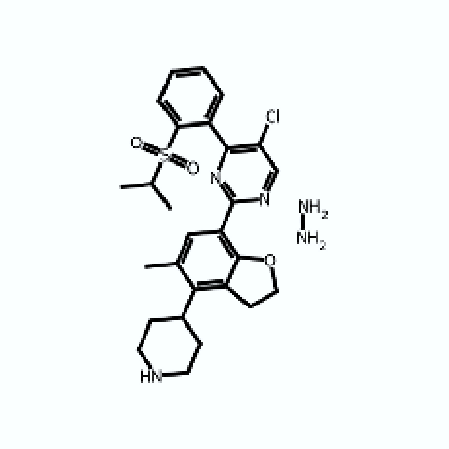 Cc1cc(-c2ncc(Cl)c(-c3ccccc3S(=O)(=O)C(C)C)n2)c2c(c1C1CCNCC1)CCO2.NN